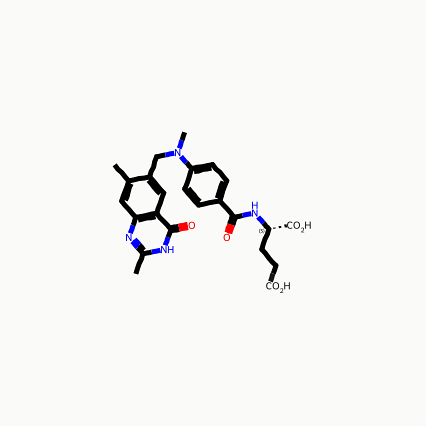 Cc1nc2cc(C)c(CN(C)c3ccc(C(=O)N[C@@H](CCC(=O)O)C(=O)O)cc3)cc2c(=O)[nH]1